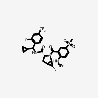 CC(C)Nc1ccc(S(C)(=O)=O)cc1C(=O)N1C2C(C[C@@H]1C(=O)NC(c1ccc(C(F)(F)F)cc1F)C1CC1)[C@H]2C